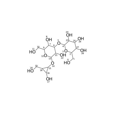 OCC1OC(OC2C(O)C(CO)OC(OC3C(O)C3CO)C2O)C(O)C(O)C1O